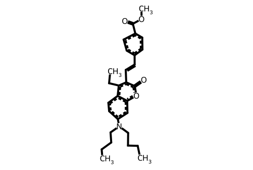 CCCCN(CCCC)c1ccc2c(CC)c(/C=C/c3ccc(C(=O)OC)cc3)c(=O)oc2c1